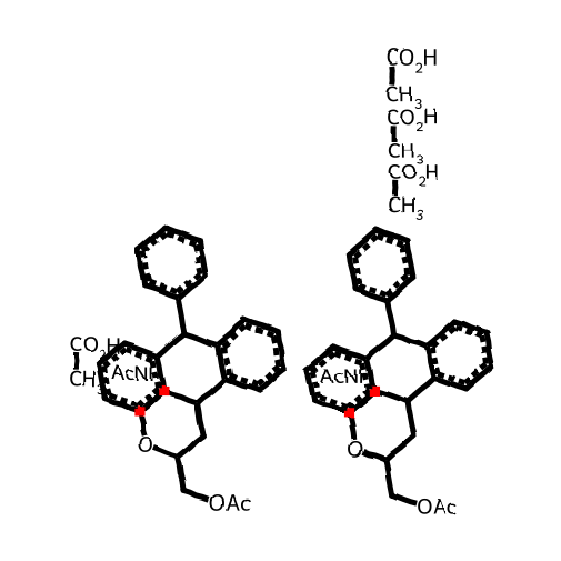 CC(=O)NC1COC(COC(C)=O)CC1c1ccccc1C(c1ccccc1)c1ccccc1.CC(=O)NC1COC(COC(C)=O)CC1c1ccccc1C(c1ccccc1)c1ccccc1.CC(=O)O.CC(=O)O.CC(=O)O.CC(=O)O